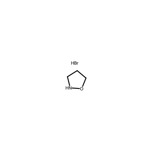 Br.C1CNOC1